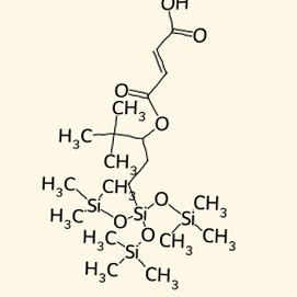 CC(C)(C)C(CC[Si](O[Si](C)(C)C)(O[Si](C)(C)C)O[Si](C)(C)C)OC(=O)/C=C/C(=O)O